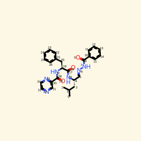 CC(C)C[C@@H](/C=N/NC(=O)c1ccccc1)NC(=O)[C@H](Cc1ccccc1)NC(=O)c1cnccn1